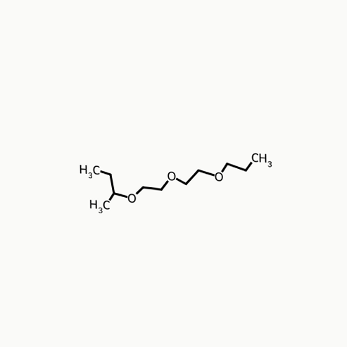 CCCOCCOCCOC(C)CC